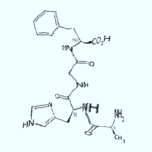 C[C@H](N)C(=O)N[C@@H](Cc1c[nH]cn1)C(=O)NCC(=O)N[C@@H](Cc1ccccc1)C(=O)O